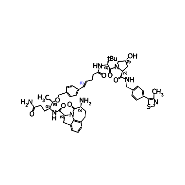 Cc1ncsc1-c1ccc(CNC(=O)[C@@H]2C[C@@H](O)CN2C(=O)[C@@H](NC(=O)CC/C=C/c2ccc(CO[C@H](C)[C@H](CCC(N)=O)NC(=O)[C@@H]3Cc4cccc5c4N3C(=O)[C@@H](N)CC5)cc2)C(C)(C)C)cc1